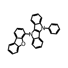 c1ccc(-n2c3ccccc3c3c2c2ccccc2n3-c2cccc3c2oc2ccccc23)cc1